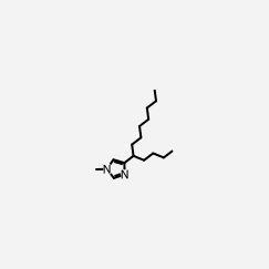 CCCCCCCC(CCCC)c1cn(C)cn1